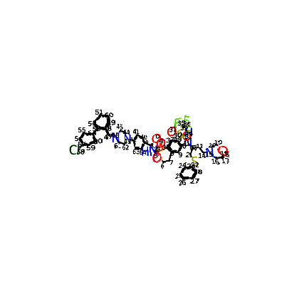 O=C(NP1(=O)OCCc2cc(N[C@H](CCN3CCOCC3)CSc3ccccc3)c(S(=O)(=O)C(F)(F)F)cc21)c1ccc(N2CCN(Cc3ccccc3-c3ccc(Cl)cc3)CC2)cc1